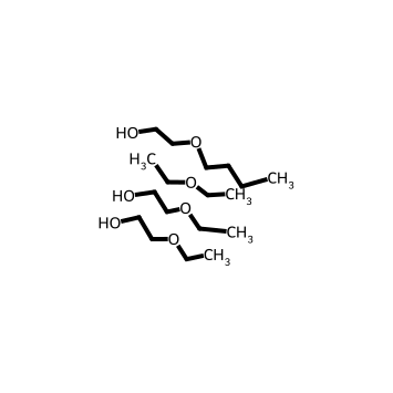 CCCCOCCO.CCOCC.CCOCCO.CCOCCO